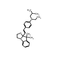 CCN(CC(C)C)c1ccc(/C=C/C23OCCN2c2ccccc2C3(C)C)cc1